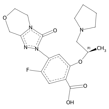 C[C@H](CN1CCCC1)Oc1cc(-n2nc3n(c2=O)CCOC3)c(F)cc1C(=O)O